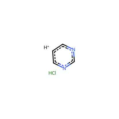 Cl.[H+].c1cncnc1